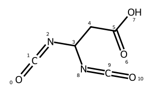 O=C=NC(CC(=O)O)N=C=O